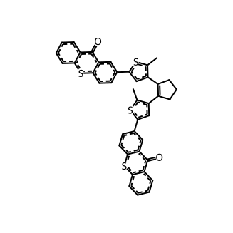 Cc1sc(-c2ccc3sc4ccccc4c(=O)c3c2)cc1C1=C(c2cc(-c3ccc4sc5ccccc5c(=O)c4c3)sc2C)CCC1